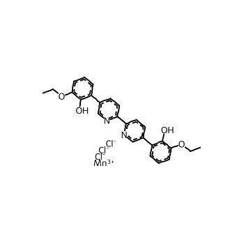 CCOc1cccc(-c2ccc(-c3ccc(-c4cccc(OCC)c4O)cn3)nc2)c1O.[Cl-].[Cl-].[Cl-].[Mn+3]